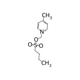 CCCCS(=O)(=O)OC[n+]1ccc(C)cc1